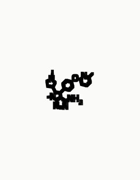 Cc1cccc(Oc2ccc(-c3c(C4=CCN(I)C4)n(C)c4ncnc(N)c34)cc2)n1